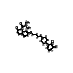 CCCN(CCC)C(=O)n1c(=O)ccc2ccc(OCCCCN3CCN(c4cccc(Cl)c4Cl)CC3)cc21